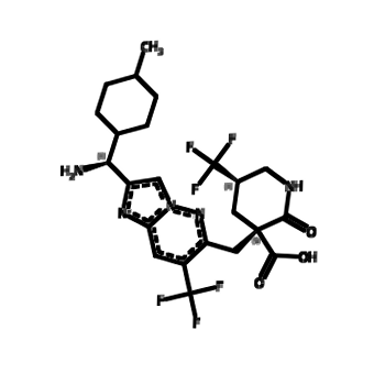 CC1CCC([C@H](N)c2cn3nc(C[C@@]4(C(=O)O)C[C@@H](C(F)(F)F)CNC4=O)c(C(F)(F)F)cc3n2)CC1